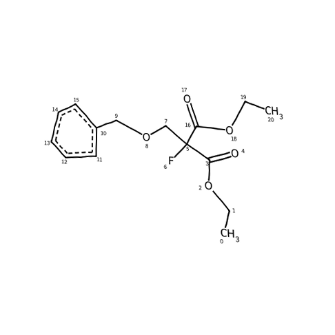 CCOC(=O)C(F)(COCc1ccccc1)C(=O)OCC